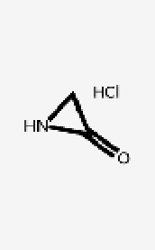 Cl.O=C1CN1